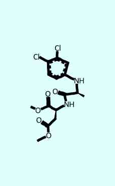 COC(=O)C[C@H](NC(=O)[C@H](C)Nc1ccc(Cl)c(Cl)c1)C(=O)OC